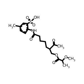 COC(C)C(=O)OCC(CCCCC(=O)Nc1ccc(C)cc1S(=O)(=O)O)C(C)=O